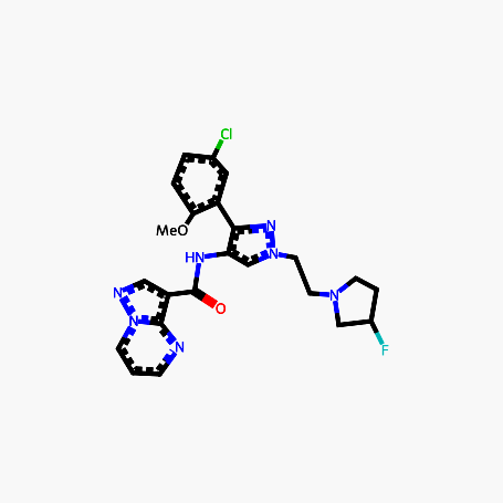 COc1ccc(Cl)cc1-c1nn(CCN2CCC(F)C2)cc1NC(=O)c1cnn2cccnc12